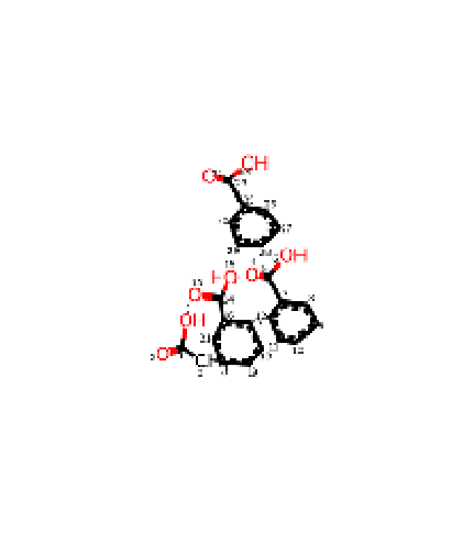 CC(=O)O.O=C(O)c1ccccc1.O=C(O)c1ccccc1.O=C(O)c1ccccc1